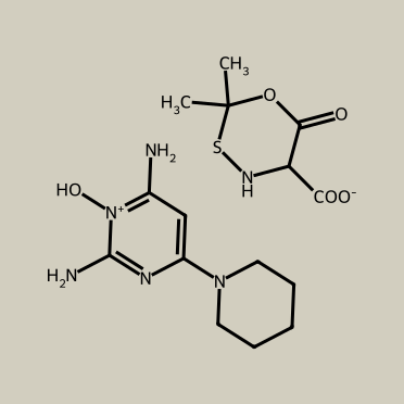 CC1(C)OC(=O)C(C(=O)[O-])NS1.Nc1cc(N2CCCCC2)nc(N)[n+]1O